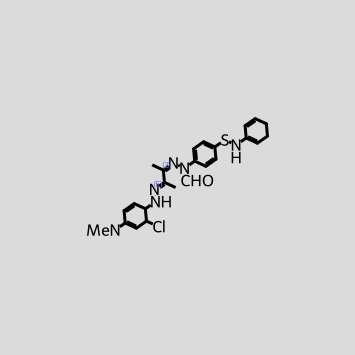 CNC1=CC(Cl)C(N/N=C(C)/C(C)=N\N(C=O)c2ccc(SNC3=CCCC=C3)cc2)C=C1